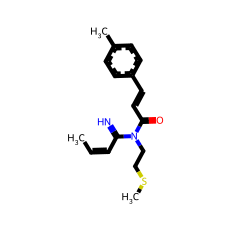 C/C=C\C(=N)N(CCSC)C(=O)/C=C/c1ccc(C)cc1